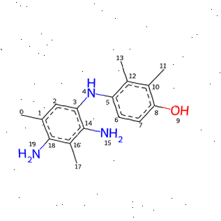 Cc1cc(Nc2ccc(O)c(C)c2C)c(N)c(C)c1N